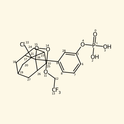 O=P(O)(O)Oc1cccc(C2(OCC(F)(F)F)OOC23C2CC4CC(Cl)C(C2)CC3C4)c1